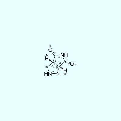 O=C1NC(=O)[C@@H]2CNC[C@H]12